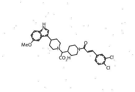 COc1ccc2[nH]cc(C3CCN(C(C(=O)O)C4CCN(C(=O)C=Cc5ccc(Cl)c(Cl)c5)CC4)CC3)c2c1